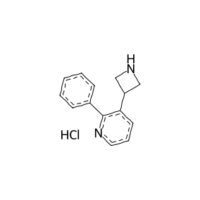 Cl.c1ccc(-c2ncccc2C2CNC2)cc1